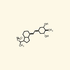 C=C1[C@H](O)CC(=C/C=C2\CCC[C@@]3(C)C2CCC3C(C)C)C[C@H]1O